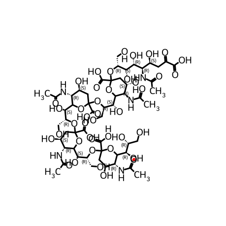 CC(=O)N[C@@H]([C@@H](O)[C@H](O)[C@@H](CO)OC1(C(=O)O)C[C@H](O)[C@@H](NC(C)=O)C([C@H](O)[C@@H](CO)OC2(C(=O)O)C[C@H](O)[C@@H](NC(C)=O)C([C@H](O)[C@@H](CO)OC3(C(=O)O)C[C@H](O)[C@@H](NC(C)=O)C([C@H](O)[C@@H](CO)OC4(C(=O)O)C[C@H](O)[C@@H](NC(C)=O)C([C@H](O)[C@H](O)CO)O4)O3)O2)O1)[C@@H](O)CC(=O)C(=O)O